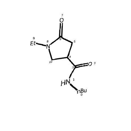 CCCCNC(=O)C1CC(=O)N(CC)C1